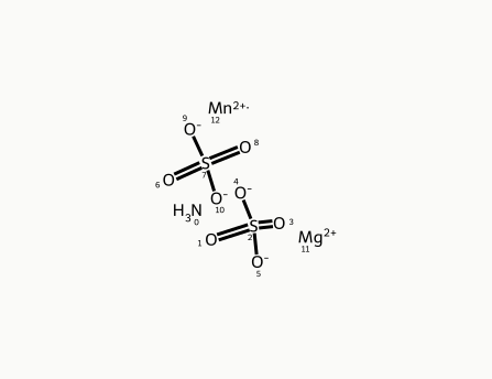 N.O=S(=O)([O-])[O-].O=S(=O)([O-])[O-].[Mg+2].[Mn+2]